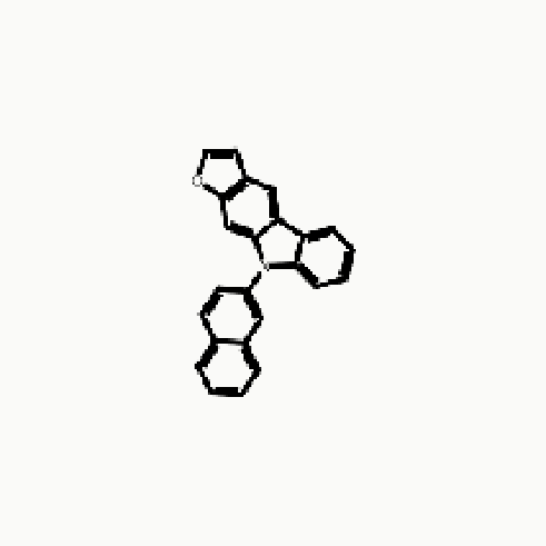 c1ccc2cc(-n3c4ccccc4c4cc5ccoc5cc43)ccc2c1